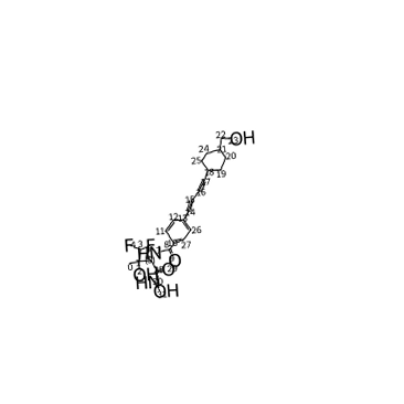 CC(O)(C(F)F)[C@H](NC(=O)c1ccc(C#CC#CC2CCC(CO)CC2)cc1)C(=O)NO